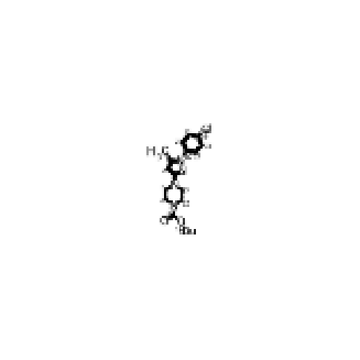 Cc1cc(N2CCN(C(=O)OC(C)(C)C)CC2)nn1-c1ccc(Cl)cc1